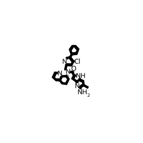 Cc1cc2[nH]c(C(=O)N(Cc3cc(Cl)c(-c4ccccc4)cn3)[C@@H]3CCCc4cccnc43)cc2nc1N